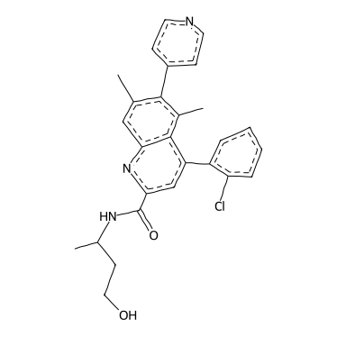 Cc1cc2nc(C(=O)NC(C)CCO)cc(-c3ccccc3Cl)c2c(C)c1-c1ccncc1